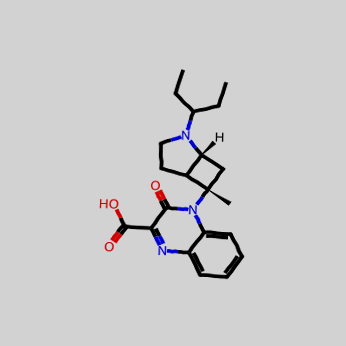 CCC(CC)N1CCC2[C@H]1C[C@]2(C)n1c(=O)c(C(=O)O)nc2ccccc21